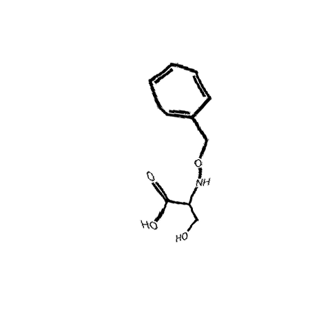 O=C(O)C(CO)NOCc1ccccc1